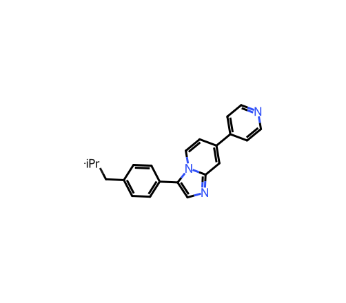 C[C](C)Cc1ccc(-c2cnc3cc(-c4ccncc4)ccn23)cc1